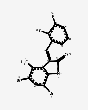 Cc1c(Br)cc(Br)c2c1C(=Cc1cccc(F)c1F)C(=O)N2